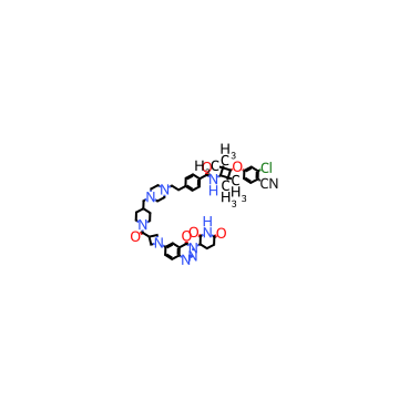 CC1(C)C(NC(=O)c2ccc(CCN3CCN(CC4CCN(C(=O)C5CN(c6ccc7nnn(C8CCC(=O)NC8=O)c(=O)c7c6)C5)CC4)CC3)cc2)C(C)(C)C1Oc1ccc(C#N)c(Cl)c1